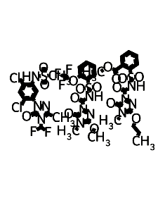 CCCOc1nn(C(=O)NS(=O)(=O)c2ccccc2C(=O)OC)c(=O)n1C.COc1nn(C(=O)NS(=O)(=O)c2ccccc2OC(F)(F)F)c(=O)n1C.Cc1nn(-c2cc(NS(C)(=O)=O)c(Cl)cc2Cl)c(=O)n1C(F)F